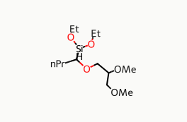 CCCC(OCC(COC)OC)[SiH](OCC)OCC